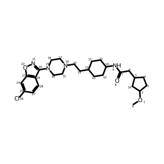 COC1CCC(CC(=O)NC2CCC(CCN3CCN(c4noc5cc(Cl)ccc45)CC3)CC2)C1